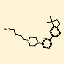 CC(=O)OCCCCN1CCN(c2cccc(-c3ccc4c(c3)C(C)(C)CC4)n2)CC1